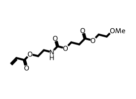 C=CC(=O)OCCNC(=O)OCCC(=O)OCCOC